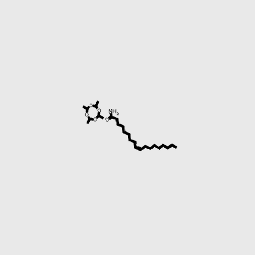 CC1OC(C)OC(C)OC(C)O1.CCCCCCCC/C=C\CCCCCCCC(N)=O